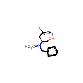 C[C@@H](C[C@@H](CO)N(Cc1ccccc1)C(=O)O)C(F)(F)F